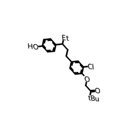 CCC(CCc1ccc(OCC(=O)C(C)(C)C)c(Cl)c1)c1ccc(O)cc1